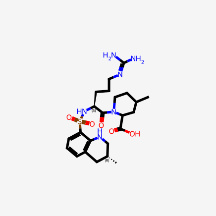 CC1CCN(C(=O)[C@H](CCCN=C(N)N)NS(=O)(=O)c2cccc3c2NC[C@H](C)C3)C(C(=O)O)C1